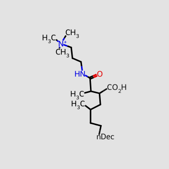 CCCCCCCCCCCCC(C)CC(C(=O)O)C(C)C(=O)NCCC[N+](C)(C)C